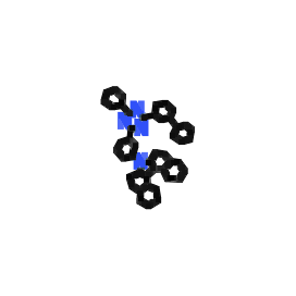 c1ccc(-c2cccc(-c3nc(-c4ccccc4)nc(-c4cccc(-n5c6ccc7ccccc7c6c6c7ccccc7ccc65)c4)n3)c2)cc1